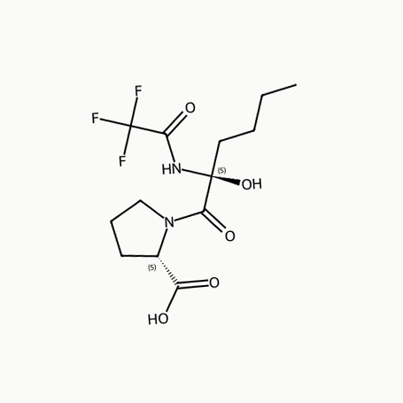 CCCC[C@@](O)(NC(=O)C(F)(F)F)C(=O)N1CCC[C@H]1C(=O)O